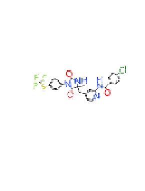 CC1(Cc2ccnc(NC(=O)c3ccc(Cl)cc3)c2)NC(=O)N(c2ccc(SC(F)(F)F)cc2)C1=O